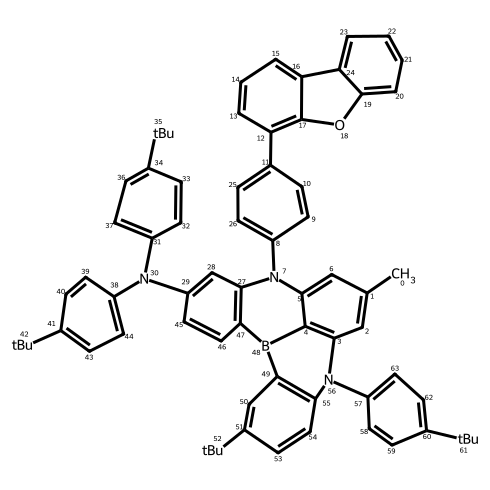 Cc1cc2c3c(c1)N(c1ccc(-c4cccc5c4oc4ccccc45)cc1)c1cc(N(c4ccc(C(C)(C)C)cc4)c4ccc(C(C)(C)C)cc4)ccc1B3c1cc(C(C)(C)C)ccc1N2c1ccc(C(C)(C)C)cc1